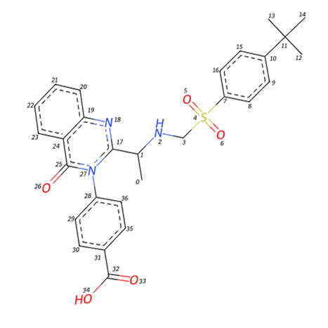 CC(NCS(=O)(=O)c1ccc(C(C)(C)C)cc1)c1nc2ccccc2c(=O)n1-c1ccc(C(=O)O)cc1